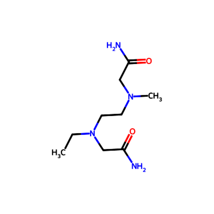 CCN(CCN(C)CC(N)=O)CC(N)=O